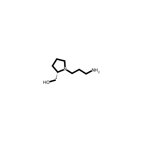 NCCCN1CCC[C@H]1CO